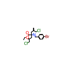 C=C(CCl)CC(CC(=C)CCl)(/N=C/c1ccc(Br)cc1)C(=O)OCC